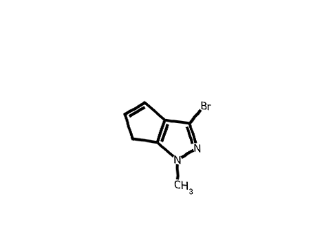 Cn1nc(Br)c2c1CC=C2